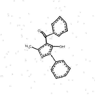 Cc1nn(-c2ccccc2)c(O)c1C(=O)c1ccccc1